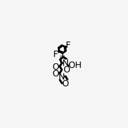 O=C(CC(=O)N1CCOCC1)C1C[C@@H](c2cc(F)ccc2F)CN1C(=O)O